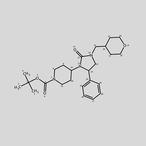 CC(C)(C)OC(=O)N1CCC(N2C(=O)N(CC3CCOCC3)CC2c2ccccc2)CC1